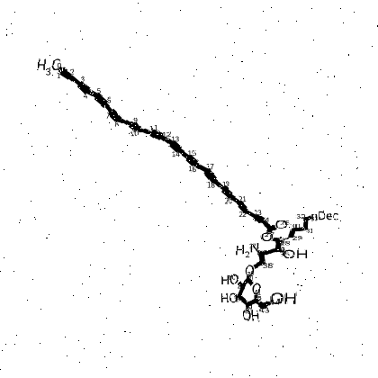 CC#CC#CC#CC#CC#CC#CC#CC#CC#CC#CC#CC#CC(=O)O[C@H](CCCCCCCCCCCCCC)[C@@H](O)[C@@H](N)CO[C@H]1OC(CO)[C@H](O)[C@H](O)C1O